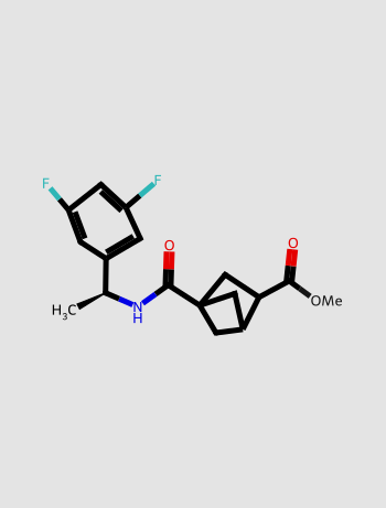 COC(=O)C1CC2(C(=O)N[C@@H](C)c3cc(F)cc(F)c3)CC1C2